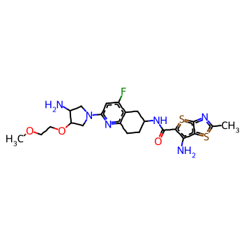 COCCOC1CN(c2cc(F)c3c(n2)CCC(NC(=O)c2sc4nc(C)sc4c2N)C3)CC1N